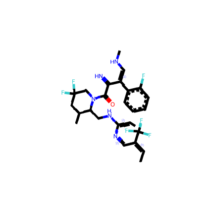 C\C=C(/N=C\C(=C/C)C(F)(F)F)NCC1C(C)CC(F)(F)CN1C(=O)C(=N)/C(=C\NC)c1ccccc1F